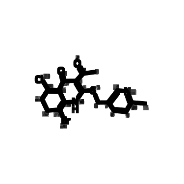 CC(=O)c1c(SCc2ccc(C)nc2)[nH]c2c(c1=O)=C(Cl)CCC=2Br